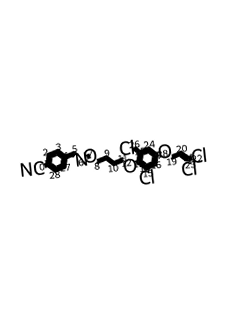 N#Cc1ccc(C=NOCCCCOc2c(Cl)cc(OCC=C(Cl)Cl)cc2Cl)cc1